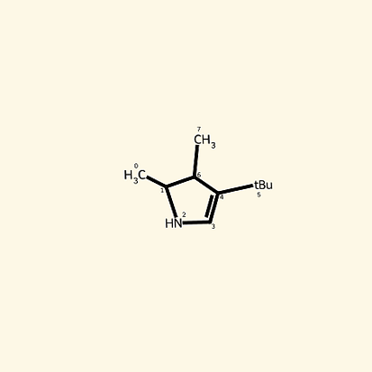 CC1NC=C(C(C)(C)C)C1C